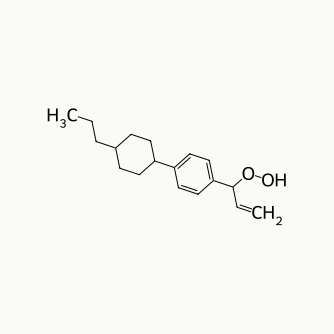 C=CC(OO)c1ccc(C2CCC(CCC)CC2)cc1